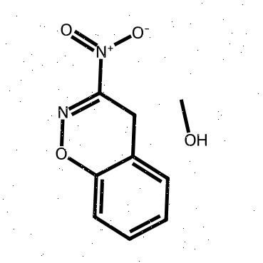 CO.O=[N+]([O-])C1=NOc2ccccc2C1